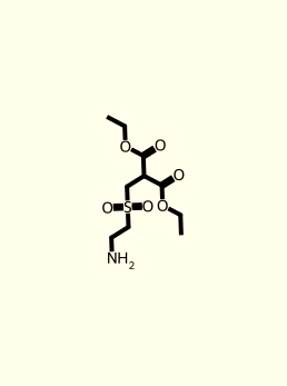 CCOC(=O)C(CS(=O)(=O)CCN)C(=O)OCC